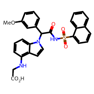 COc1cccc(C(C(=O)NS(=O)(=O)c2cccc3ccccc23)n2ccc3c(NCC(=O)O)cccc32)c1